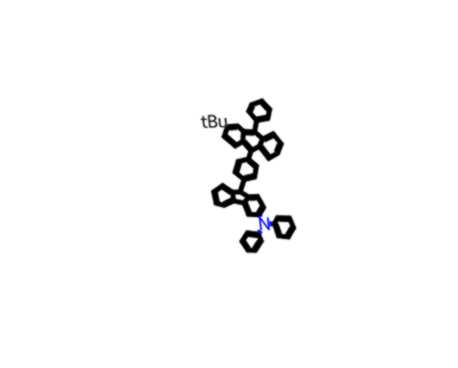 CC(C)(C)c1ccc2c(-c3ccc(C4c5ccccc5-c5cc(N(c6ccccc6)c6ccccc6)ccc54)cc3)c3ccccc3c(-c3ccccc3)c2c1